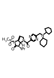 CC(C)[C@H]1C(=O)N(S(C)(=O)=O)C2=CCN(C(=O)c3cnc(CN(C4CCCCC4)C4CCCCC4)cn3)[C@@H]21